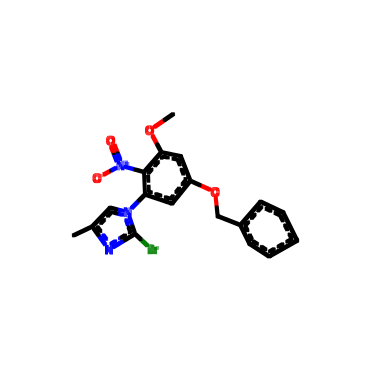 COc1cc(OCc2ccccc2)cc(-n2cc(C)nc2Br)c1[N+](=O)[O-]